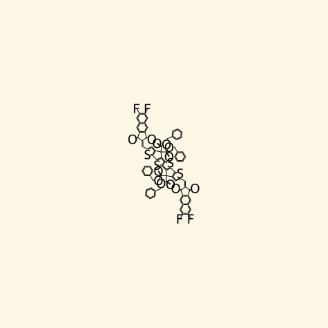 O=C1C(=Cc2cc3c(s2)-c2sc4c5c(sc4c2C3(C(=O)OCc2ccccc2)C(=O)OCc2ccccc2)-c2sc(C=C3C(=O)c4cc6cc(F)c(F)cc6cc4C3=O)cc2C5(C(=O)OCc2ccccc2)C(=O)OCc2ccccc2)C(=O)c2cc3cc(F)c(F)cc3cc21